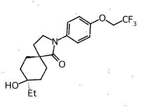 CC[C@]1(O)CC[C@]2(CCN(c3ccc(OCC(F)(F)F)cc3)C2=O)CC1